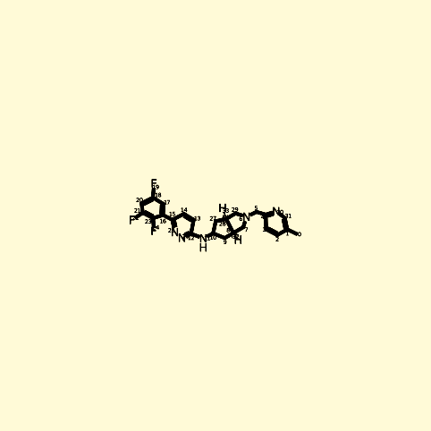 Cc1ccc(CN2C[C@H]3CC(Nc4ccc(-c5cc(F)cc(F)c5F)nn4)C[C@H]3C2)nc1